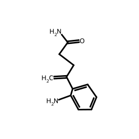 C=C(CCC(N)=O)c1ccccc1N